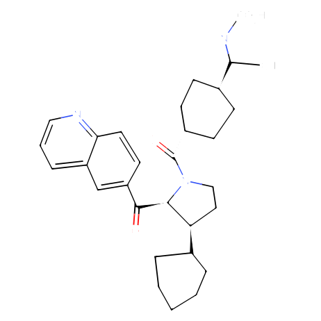 CC(NC(=O)O)[C@H]1CC[C@H](C(=O)N2CC[C@@H](C3CCCCC3)[C@H]2C(=O)c2ccc3ncccc3c2)CC1